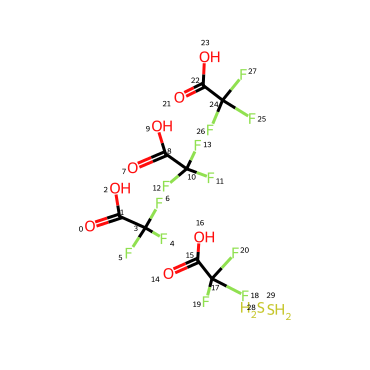 O=C(O)C(F)(F)F.O=C(O)C(F)(F)F.O=C(O)C(F)(F)F.O=C(O)C(F)(F)F.S.S